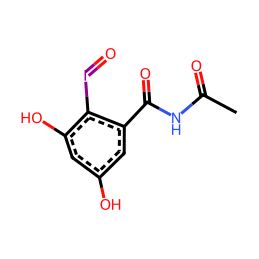 CC(=O)NC(=O)c1cc(O)cc(O)c1I=O